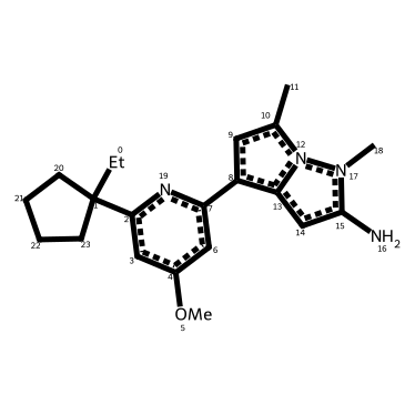 CCC1(c2cc(OC)cc(-c3cc(C)n4c3cc(N)n4C)n2)CCCC1